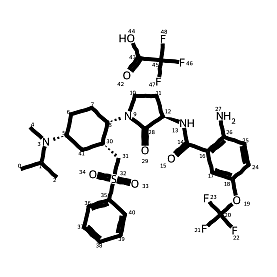 CC(C)N(C)[C@@H]1CC[C@H](N2CC[C@@H](NC(=O)c3cc(OC(F)(F)F)ccc3N)C2=O)[C@H](CS(=O)(=O)c2ccccc2)C1.O=C(O)C(F)(F)F